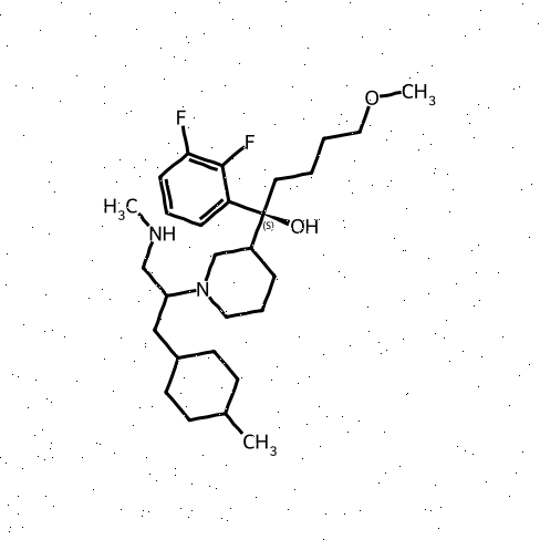 CNCC(CC1CCC(C)CC1)N1CCCC([C@@](O)(CCCCOC)c2cccc(F)c2F)C1